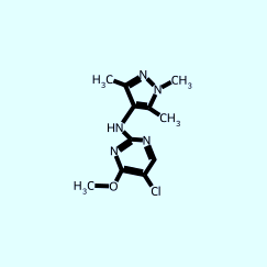 COc1nc(Nc2c(C)nn(C)c2C)ncc1Cl